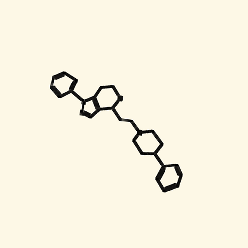 c1ccc(C2CCN(CCC3OCCc4c3cnn4-c3ccccc3)CC2)cc1